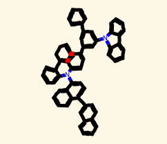 C1=CCCC(c2ccccc2N(c2ccc(-c3cc(-c4ccccc4)cc(-n4c5ccccc5c5ccccc54)c3)cc2)c2ccc(-c3ccc4ccccc4c3)c3ccccc23)=C1